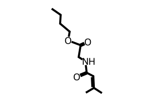 CCCCOC(=O)CNC(=O)C=C(C)C